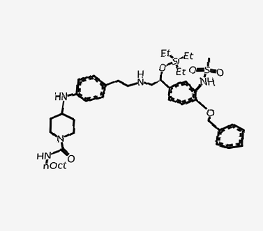 CCCCCCCCNC(=O)N1CCC(Nc2ccc(CCNC[C@@H](O[Si](CC)(CC)CC)c3ccc(OCc4ccccc4)c(NS(C)(=O)=O)c3)cc2)CC1